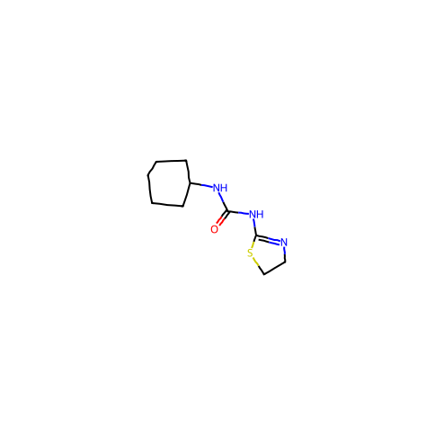 O=C(NC1=NCCS1)NC1CCCCC1